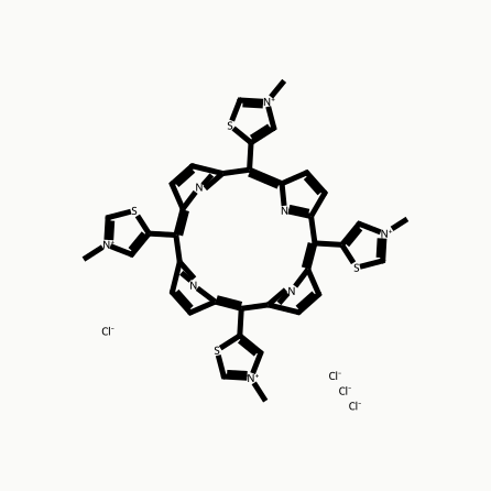 C[n+]1csc(C2=C3C=CC(=N3)C(c3c[n+](C)cs3)=C3C=CC(=N3)C(c3c[n+](C)cs3)=C3C=CC(=N3)C(c3c[n+](C)cs3)=C3C=CC2=N3)c1.[Cl-].[Cl-].[Cl-].[Cl-]